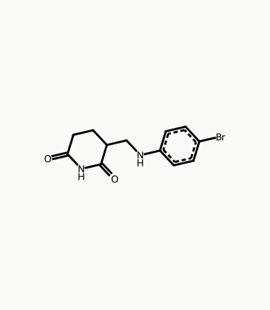 O=C1CCC(CNc2ccc(Br)cc2)C(=O)N1